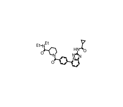 CCN(CC)C(=O)C1CCCN(C(=O)c2ccc(-c3cccc4nc(NC(=O)C5CC5)nn34)cc2)C1